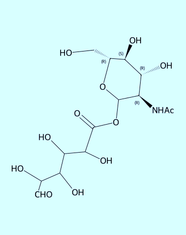 CC(=O)N[C@H]1C(OC(=O)C(O)C(O)C(O)C(O)C=O)O[C@H](CO)[C@@H](O)[C@@H]1O